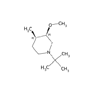 CO[C@H]1CN(C(C)(C)C)CC[C@H]1C